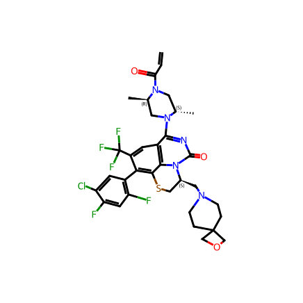 C=CC(=O)N1C[C@H](C)N(c2nc(=O)n3c4c(c(-c5cc(Cl)c(F)cc5F)c(C(F)(F)F)cc24)SC[C@@H]3CN2CCC3(CC2)COC3)C[C@H]1C